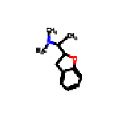 CC(C1Cc2ccccc2O1)N(C)C